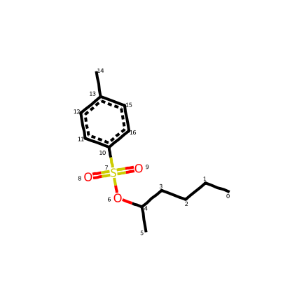 CCCCC(C)OS(=O)(=O)c1ccc(C)cc1